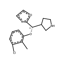 Cc1c(Cl)cccc1O[C@H](c1ncco1)C1CCNC1